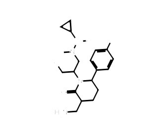 CCC(CN(C)[S+]([O-])C1CC1)N1C(=O)C(CN)CCC1c1ccc(Cl)cc1